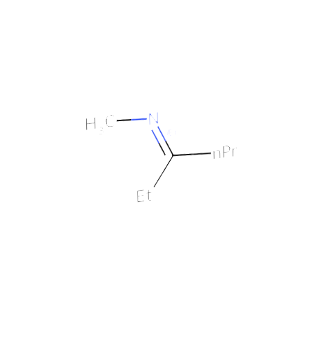 [CH2]C/C(CCC)=N\C